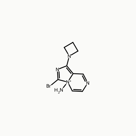 N[N+]12C=CN=CC1=C(N1CCC1)N=C2Br